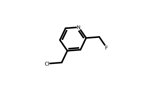 FCc1cc(CCl)ccn1